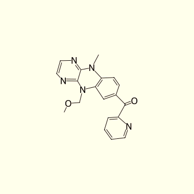 COCN1c2cc(C(=O)c3ccccn3)ccc2N(C)c2nccnc21